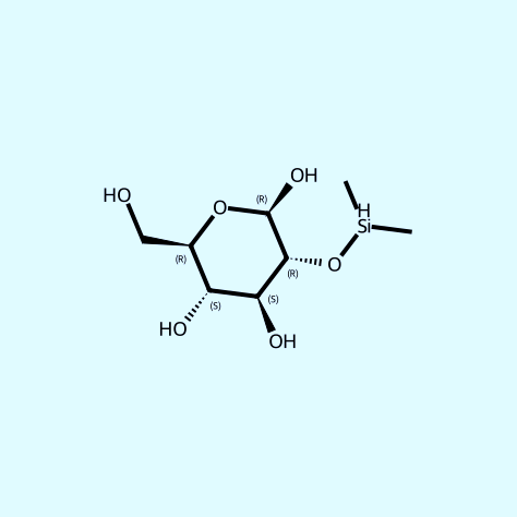 C[SiH](C)O[C@@H]1[C@@H](O)[C@H](O)[C@@H](CO)O[C@H]1O